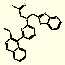 COc1ccc2ccccc2c1-c1cnnc(N(CC(N)=O)Cc2nc3ccccc3s2)n1